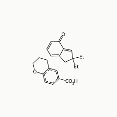 CCC1(CC)C=C2C(=O)C=CC=C2C1.O=C(O)c1ccc2c(c1)CCCO2